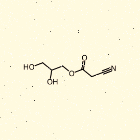 N#CCC(=O)OCC(O)CO